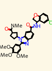 CNC(=O)C1CCC(n2c(-c3cc(OC)c(OC)c(OC)c3)nc3ccc(C(=O)NC4COc5ccc(Cl)cc54)cc32)C1